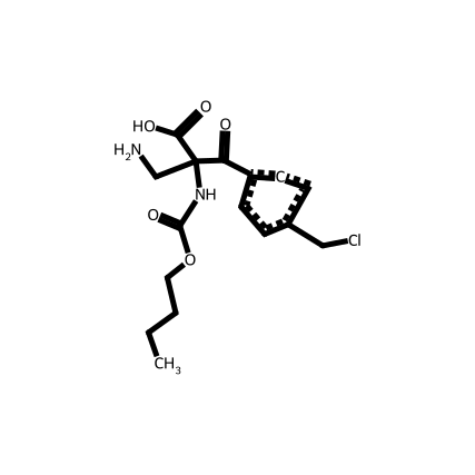 CCCCOC(=O)NC(CN)(C(=O)O)C(=O)c1ccc(CCl)cc1